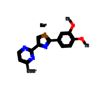 CCOc1ccc(-c2nc(-c3nccc(C(=O)[O-])n3)cs2)cc1OCC.[Na+]